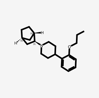 CCCOc1ccccc1C1CCN([C@H]2C[C@H]3CC[C@H]2C3)CC1